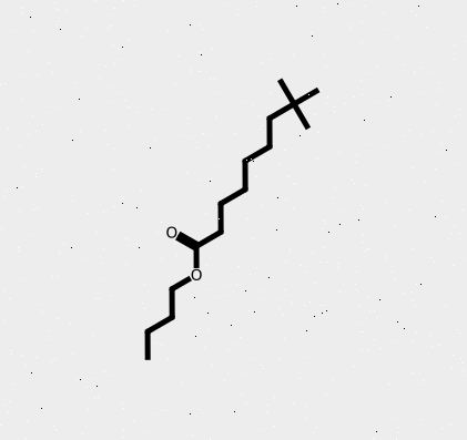 CCCCOC(=O)CCCCCCC(C)(C)C